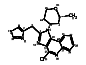 C[C@@H]1C[C@H](n2c(Cc3cscn3)nc3c(Cl)nc4ccccc4c32)CCO1